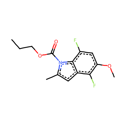 CCCOC(=O)n1c(C)cc2c(F)c(OC)cc(F)c21